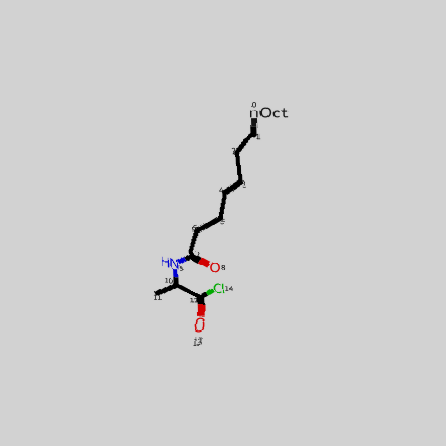 CCCCCCCCCCCCCCC(=O)NC(C)C(=O)Cl